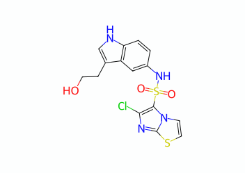 O=S(=O)(Nc1ccc2[nH]cc(CCO)c2c1)c1c(Cl)nc2sccn12